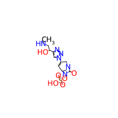 CNCC(O)c1cn(C2=CC3CN(C2)C(=O)N3OS(=O)(=O)O)nn1